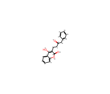 O=C(CCc1c(O)c2ccccc2oc1=O)Cc1ccccc1